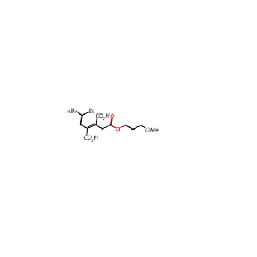 CCCCC(CC)C/C(C(=O)O)=C(/CC(=O)OCCCOC)C(=O)O